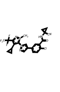 Cn1nc(C(F)(F)C(F)(F)F)c(C2CC2)c1-n1cc(-c2ccc(Cl)c(C(=O)NC3(C#N)CC3)c2)cn1